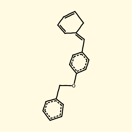 C1=CCC(=Cc2ccc(OCc3ccccc3)cc2)C=C1